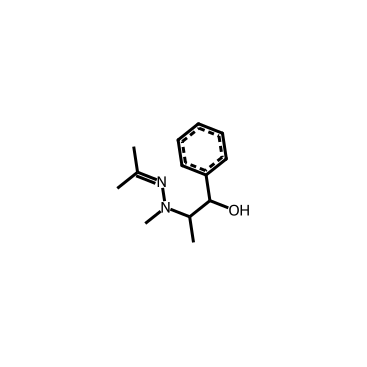 CC(C)=NN(C)C(C)C(O)c1ccccc1